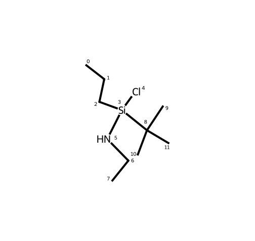 CCC[Si](Cl)(NCC)C(C)(C)C